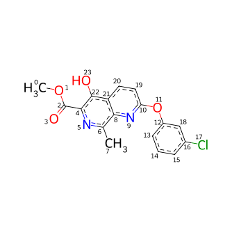 COC(=O)c1nc(C)c2nc(Oc3cccc(Cl)c3)ccc2c1O